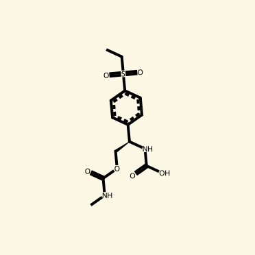 CCS(=O)(=O)c1ccc([C@H](COC(=O)NC)NC(=O)O)cc1